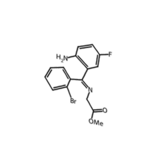 COC(=O)CN=C(c1cc(F)ccc1N)c1ccccc1Br